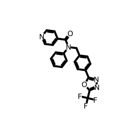 O=C(c1ccncc1)N(Cc1ccc(-c2nnc(C(F)(F)F)o2)cc1)c1ccccc1